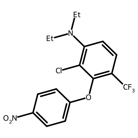 CCN(CC)c1ccc(C(F)(F)F)c(Oc2ccc([N+](=O)[O-])cc2)c1Cl